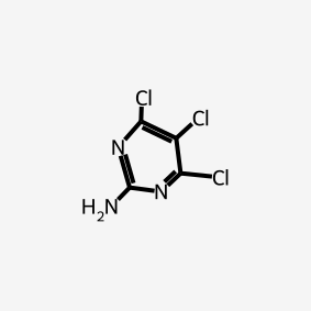 Nc1nc(Cl)c(Cl)c(Cl)n1